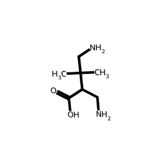 CC(C)(CN)C(CN)C(=O)O